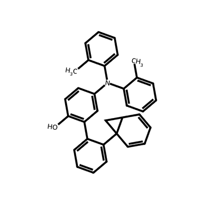 Cc1ccccc1N(c1ccc(O)c(-c2ccccc2C23C=CC=CC2C3)c1)c1ccccc1C